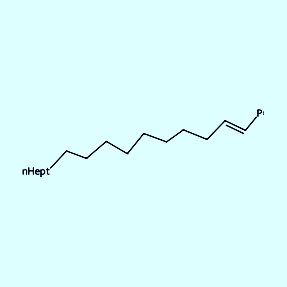 CCCCCCCCCCCCCCC/C=C/[P]